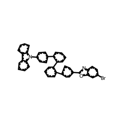 Brc1ccc2nc(-c3ccc(-c4ccccc4-c4ccccc4-c4ccc(-n5c6ccccc6c6ccccc65)cc4)cc3)oc2c1